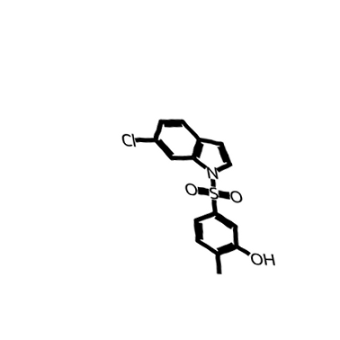 Cc1ccc(S(=O)(=O)n2ccc3ccc(Cl)cc32)cc1O